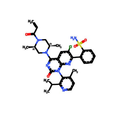 C=CC(=O)N1C[C@H](C)N(c2nc(=O)n(-c3c(C)ccnc3C(C)C)c3nc(-c4ccccc4S(N)(=O)=O)c(Cl)cc23)C[C@H]1C